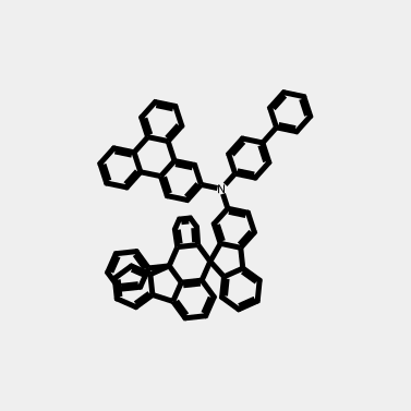 c1ccc(-c2ccc(N(c3ccc4c(c3)C3(c5ccccc5-4)c4ccccc4C4(c5ccccc5)c5ccccc5-c5cccc3c54)c3ccc4c5ccccc5c5ccccc5c4c3)cc2)cc1